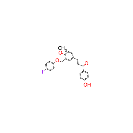 COc1ccc(/C=C/C(=O)c2ccc(O)cc2)cc1COc1ccc(I)cc1